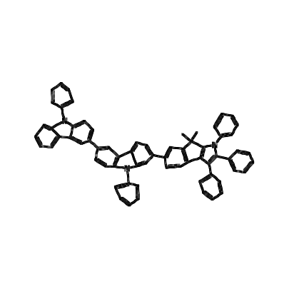 CC1(C)c2cc(-c3ccc4c5cc(-c6ccc7c(c6)c6ccccc6n7-c6ccccc6)ccc5n(-c5ccccc5)c4c3)ccc2-c2c(-c3ccccc3)c(-c3ccccc3)n(-c3ccccc3)c21